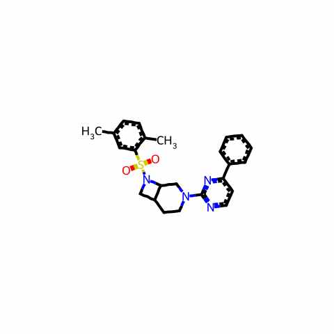 Cc1ccc(C)c(S(=O)(=O)N2CC3CCN(c4nccc(-c5ccccc5)n4)CC32)c1